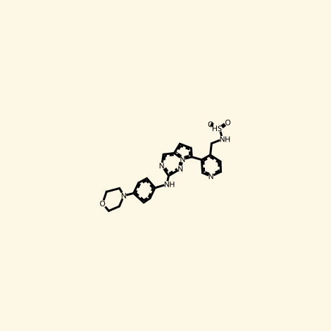 O=[SH](=O)NCc1ccncc1-c1ccc2cnc(Nc3ccc(N4CCOCC4)cc3)nn12